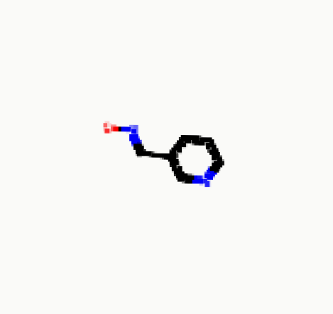 [O]N=Cc1cccnc1